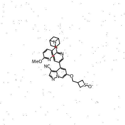 COc1ccc(CN2C3CC2CN(c2ccc(-c4cc(OCC5C[S+]([O-])C5)cn5ncc(C#N)c45)cn2)C3)cn1